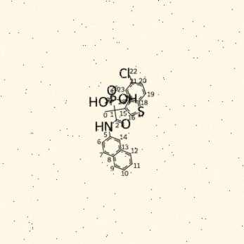 CC(C(=O)Nc1ccc2ccccc2c1)(c1csc2ccc(Cl)cc12)P(=O)(O)O